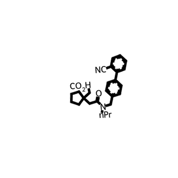 CCCN(Cc1ccc(-c2ccccc2C#N)cc1)C(=O)CC1(CC(=O)O)CCCC1